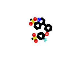 CS(=O)(=O)c1ccc(Oc2cccc(-c3ccnc4c(S(C)(=O)=O)cccc34)c2)c(F)c1